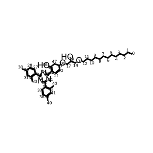 CCCCCCCCCCCCCOCC(O)COC1C=CC(c2nc(-c3ccc(C)cc3C)nc(-c3ccc(C)cc3C)n2)=C(O)C1